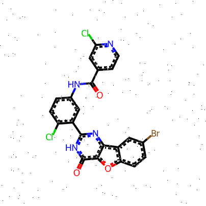 O=C(Nc1ccc(Cl)c(-c2nc3c(oc4ccc(Br)cc43)c(=O)[nH]2)c1)c1ccnc(Cl)c1